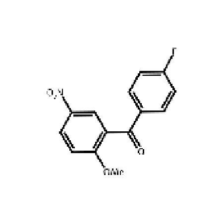 COc1ccc([N+](=O)[O-])cc1C(=O)c1ccc(F)cc1